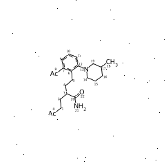 CC(=O)CCC(CCc1c(C(C)=O)cccc1N1CCCC(C)C1)C(N)=O